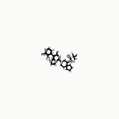 Cc1nc(N2CCC3(CCCC3)C(N[S@+]([O-])C(C)(C)C)C2)n2ccnc2c1-c1ccnc(F)c1Cl